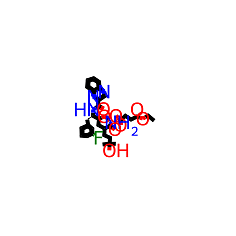 CCOC(=O)CCC(=O)OCOC(CC(CCC(C)(C)O)C(N)=O)[C@H](Cc1cccc(F)c1)NC(=O)c1cnc2ccccc2n1